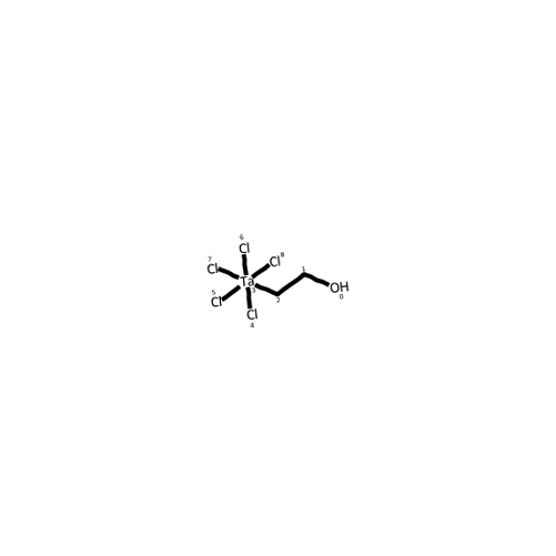 OC[CH2][Ta]([Cl])([Cl])([Cl])([Cl])[Cl]